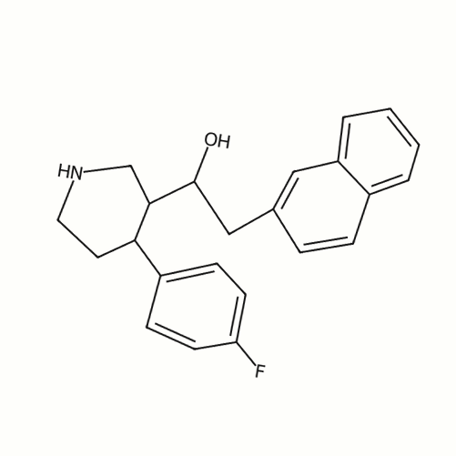 OC(Cc1ccc2ccccc2c1)C1CNCCC1c1ccc(F)cc1